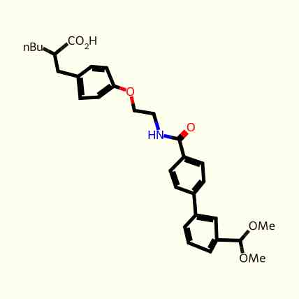 CCCCC(Cc1ccc(OCCNC(=O)c2ccc(-c3cccc(C(OC)OC)c3)cc2)cc1)C(=O)O